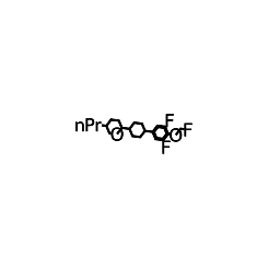 CCCC1CCC(C2CCC(c3cc(F)c(OCF)c(F)c3)CC2)OC1